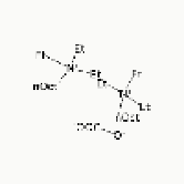 CCCCCCCC[N+](CC)(CC)CC.CCCCCCCC[N+](CC)(CC)CC.O=C([O-])[O-]